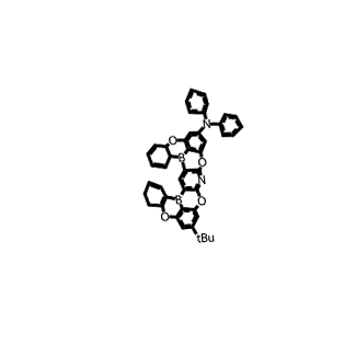 CC(C)(C)c1cc2c3c(c1)Oc1nc4c(cc1B3C1=C(CCC=C1)O2)B1c2c(cc(N(c3ccccc3)c3ccccc3)cc2OC2C=CC=CC12)O4